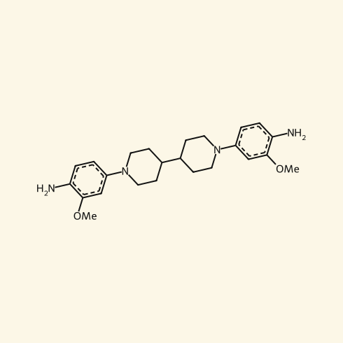 COc1cc(N2CCC(C3CCN(c4ccc(N)c(OC)c4)CC3)CC2)ccc1N